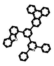 c1ccc(-c2cc(-c3cc(-c4ccc5c6ccccc6c6ccccc6c5c4)cc(-c4cccc5c4oc4ccccc45)c3)cc(-c3ccccc3)n2)cc1